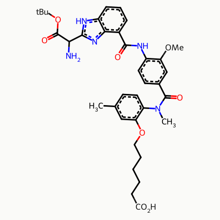 COc1cc(C(=O)N(C)c2ccc(C)cc2OCCCCCC(=O)O)ccc1NC(=O)c1cccc2[nH]c(C(N)C(=O)OC(C)(C)C)nc12